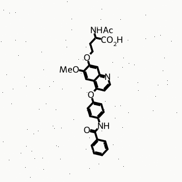 COc1cc2c(Oc3ccc(NC(=O)c4ccccc4)cc3)ccnc2cc1OCCC(NC(C)=O)C(=O)O